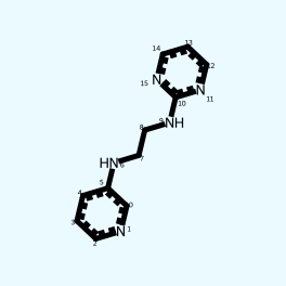 [c]1ncccc1NCCNc1ncccn1